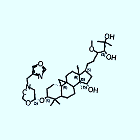 COC(CC[C@H]1C[C@H](O)[C@@]2(C)C3CCC4C(C)(C)[C@@H](O[C@H]5CN(Cc6cocn6)CCO5)CC[C@@]45CC35CC[C@]12C)[C@H](O)C(C)(C)O